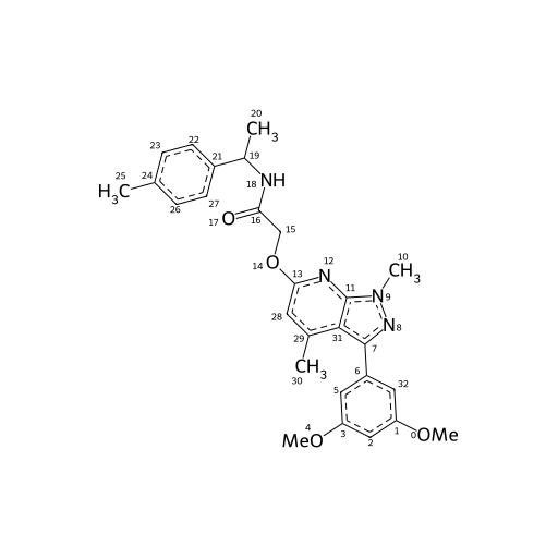 COc1cc(OC)cc(-c2nn(C)c3nc(OCC(=O)NC(C)c4ccc(C)cc4)cc(C)c23)c1